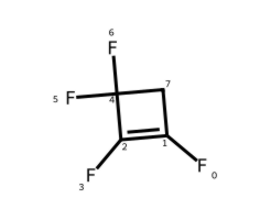 FC1=C(F)C(F)(F)C1